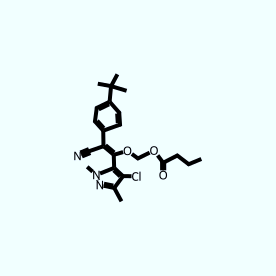 CCCC(=O)OCO/C(=C(/C#N)c1ccc(C(C)(C)C)cc1)c1c(Cl)c(C)nn1C